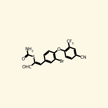 N#Cc1ccc(Oc2ccc(/C=C(/C=O)SC(N)=O)cc2Br)c(C(F)(F)F)c1